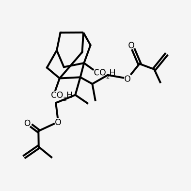 C=C(C)C(=O)OCC(C)C1(C(C)COC(=O)C(=C)C)C2(C(=O)O)CC3CC(C2)CC1(C(=O)O)C3